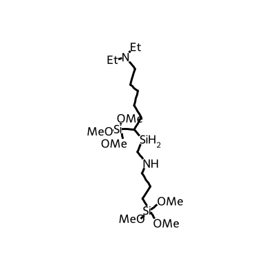 CCN(CC)CCCCCC([SiH2]CNCCC[Si](OC)(OC)OC)[Si](OC)(OC)OC